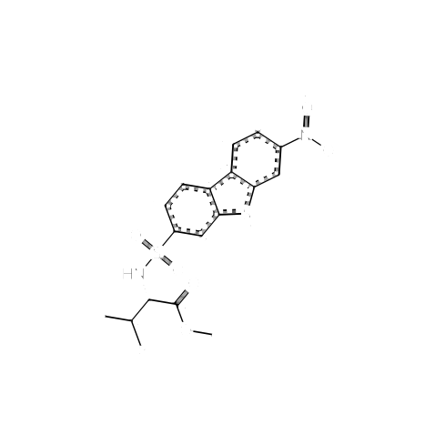 COC(=O)[C@@H](NS(=O)(=O)c1ccc2c(c1)sc1cc([N+](=O)[O-])ccc12)C(C)C